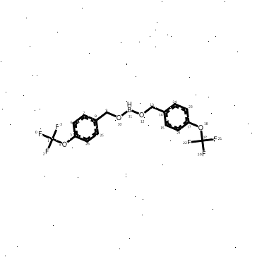 FC(F)(F)Oc1ccc(COBOCc2ccc(OC(F)(F)F)cc2)cc1